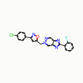 Fc1ccccc1-c1nc2cnn(Cc3cc(-c4ccc(Cl)cc4)no3)cc-2n1